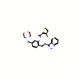 Cc1ccsc1C(=O)Nc1cc(C(=O)N2C[C@@H](C)O[C@@H](C)C2)ccc1C=Cc1n[nH]c2ccccc12